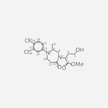 COC(=O)C(CCO)N1CC(C)N(c2ccc(Cl)c(Cl)c2)CCC1=O